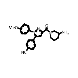 COc1ccc(-n2nc(C(=O)N3CCCC(N)C3)cc2-c2ccc(C#N)cc2)cc1